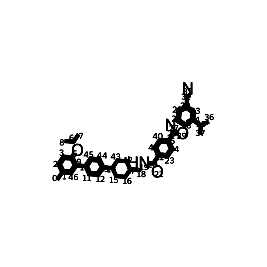 Cc1ccc(OC(C)C)c(-c2ccc(C3CCC(CNC(=O)c4ccc(-c5nc6cc(C#N)cc(C(C)C)c6o5)cc4)CC3)cc2)c1